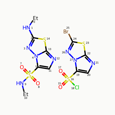 CCNc1nn2c(S(=O)(=O)NCC)cnc2s1.O=S(=O)(Cl)c1cnc2sc(Br)nn12